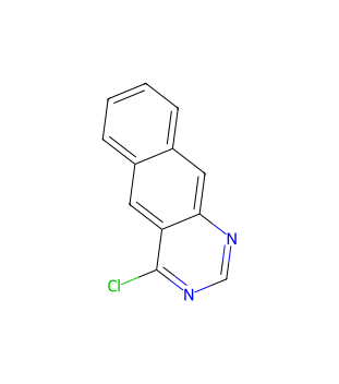 Clc1ncnc2cc3ccccc3cc12